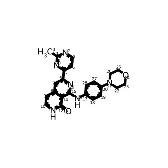 Cc1nccc(-c2cc3cc[nH]c(=O)c3c(Nc3ccc(N4CCOCC4)cc3)n2)n1